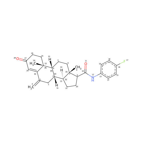 C=C1C[C@@H]2[C@@H](CC[C@]3(C)C(C(=O)Nc4ccc(F)cc4)CC[C@@H]23)[C@@]2(C)CCC(=O)C=C12